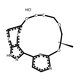 C[C@@H]1COCCCOc2ccc3[nH]nc(c3c2)-c2ccnc(n2)O1.Cl